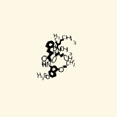 C=CCO[C@@H]1C[C@H](NCC(O)C(Cc2ccccc2)NC(=O)[C@H](CC=C)N(C)C(=O)C(CC)CCCC)c2cc(OC)ccc21